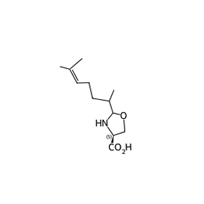 CC(C)=CCCC(C)C1N[C@H](C(=O)O)CO1